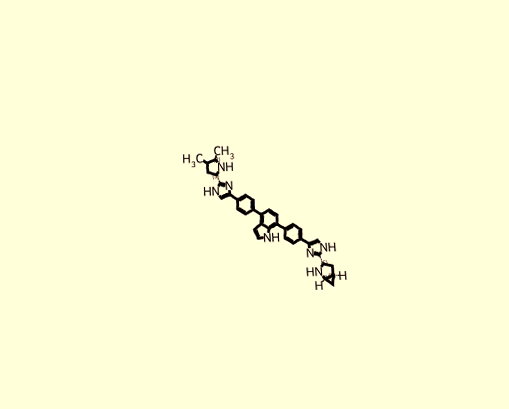 CC1C[C@@H](c2nc(-c3ccc(-c4ccc(-c5ccc(-c6c[nH]c([C@@H]7C[C@H]8C[C@H]8N7)n6)cc5)c5[nH]ccc45)cc3)c[nH]2)N[C@@H]1C